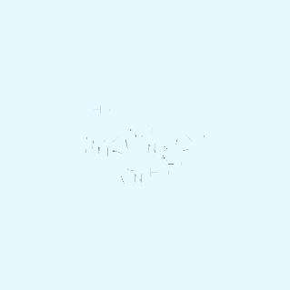 CCCCN(C(=O)CN1C[C@H](c2ccc3c(c2)OCO3)[C@@H](C(=O)O)[C@@H]1CCc1ccccn1)c1cccc(C[N+](C)(C)C)c1